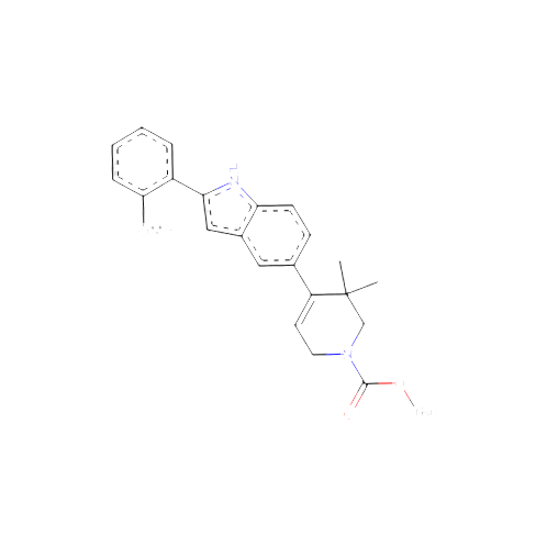 COc1ccccc1-c1cc2cc(C3=CCN(C(=O)OC(C)(C)C)CC3(C)C)ccc2[nH]1